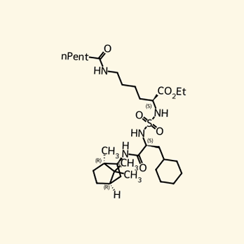 CCCCCC(=O)NCCCC[C@H](NS(=O)(=O)N[C@@H](CC1CCCCC1)C(=O)N[C@H]1C[C@H]2CC[C@]1(C)C2(C)C)C(=O)OCC